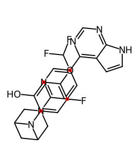 Oc1cc(OC(F)F)c(F)cc1N1C2CC1CN(c1ccc(-c3ncnc4[nH]ccc34)cn1)C2